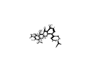 CC(C)N1CC=C(c2ccc(O)c3c2C[C@H]2C[C@H]4[C@@H](N(C)C)C(O)=C(C(N)=O)C5(O)O[C@]45C(O)=C2C3=O)CC1